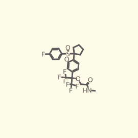 CNC(=O)COC(c1ccc(C2(S(=O)(=O)c3ccc(F)cc3)CCCC2)cc1)(C(F)(F)F)C(F)(F)F